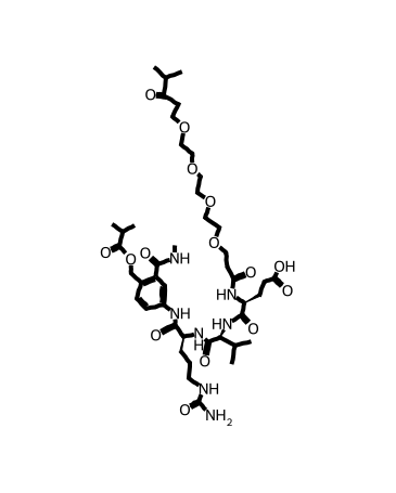 CNC(=O)c1cc(NC(=O)[C@H](CCCNC(N)=O)NC(=O)[C@@H](NC(=O)[C@H](CCC(=O)O)NC(=O)CCOCCOCCOCCOCCC(=O)C(C)C)C(C)C)ccc1COC(=O)C(C)C